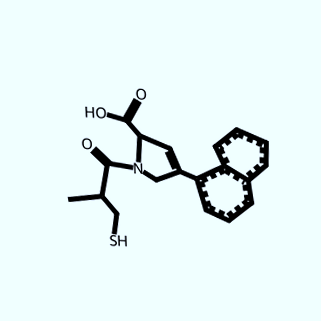 CC(CS)C(=O)N1CC(c2cccc3ccccc23)=CC1C(=O)O